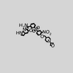 NC(=O)c1cccc(S(=O)(=O)c2ccc(OCC3CCN(C4COC4)CC3)c([N+](=O)[O-])c2)c1Oc1cnc2[nH]ccc2c1